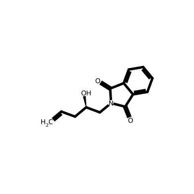 C=CC[C@@H](O)CN1C(=O)c2ccccc2C1=O